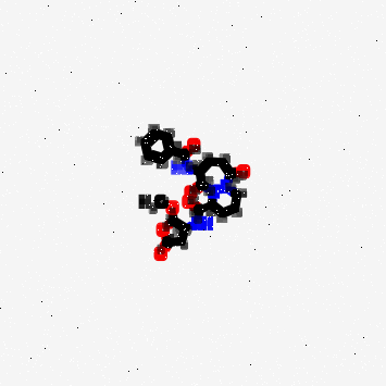 COC1OC(=O)C[C@@H]1NC(=O)[C@@H]1CCCN2C(=O)CCC(NC(=O)c3ccccc3)C(=O)N12